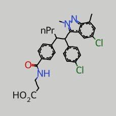 CCCC(c1ccc(C(=O)NCCC(=O)O)cc1)C(c1ccc(Cl)cc1)c1c2cc(Cl)cc(C)c2nn1C